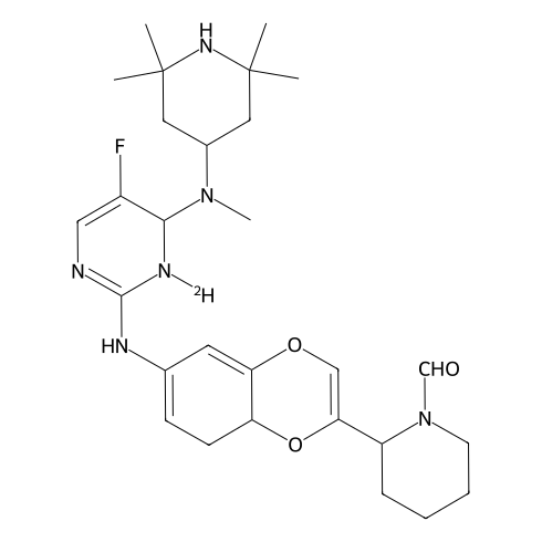 [2H]N1C(NC2=CCC3OC(C4CCCCN4C=O)=COC3=C2)=NC=C(F)C1N(C)C1CC(C)(C)NC(C)(C)C1